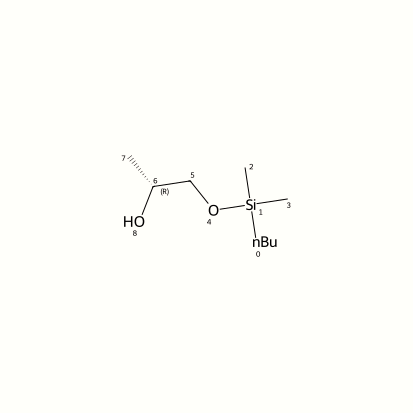 CCCC[Si](C)(C)OC[C@@H](C)O